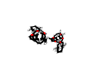 O=C(O)c1nc2cc(OC(=O)c3nc4ccccc4n([C@H]4C[C@H]5CC[C@@H](C4)N5C4CCCCCCCCCC4)c3=O)ccc2n([C@H]2C[C@H]3CC[C@@H](C2)N3C2CCCCCCCCCCC2)c1=O